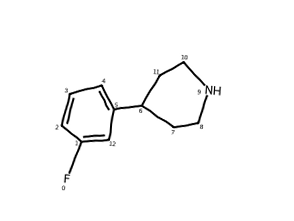 Fc1cccc(C2CCNCC2)c1